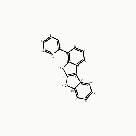 c1ccc(-c2cccc3c2sc2oc4ccccc4c23)nc1